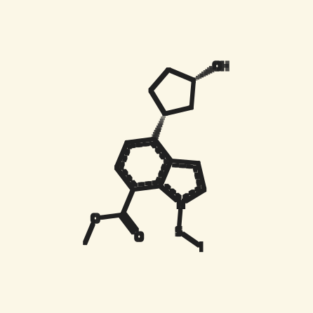 COC(=O)c1ccc([C@@H]2CC[C@H](O)C2)c2ccn(SI)c12